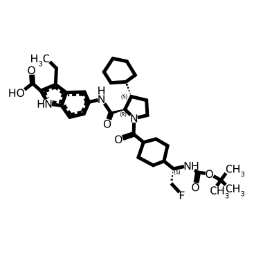 CCc1c(C(=O)O)[nH]c2ccc(NC(=O)[C@H]3[C@H](C4CCCCC4)CCN3C(=O)C3CCC([C@@H](CF)NC(=O)OC(C)(C)C)CC3)cc12